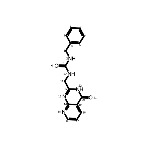 O=C(NCc1ccccc1)NCc1nc2ncccc2c(=O)[nH]1